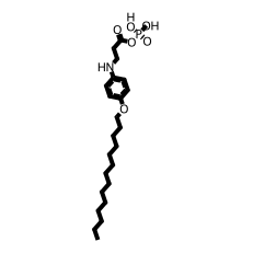 CCCCCCCCCCCCCCOc1ccc(NCCC(=O)OP(=O)(O)O)cc1